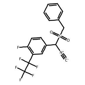 [C-]#[N+]C(c1ccc(F)c(C(F)(F)C(F)(F)F)c1)S(=O)(=O)Cc1ccccc1